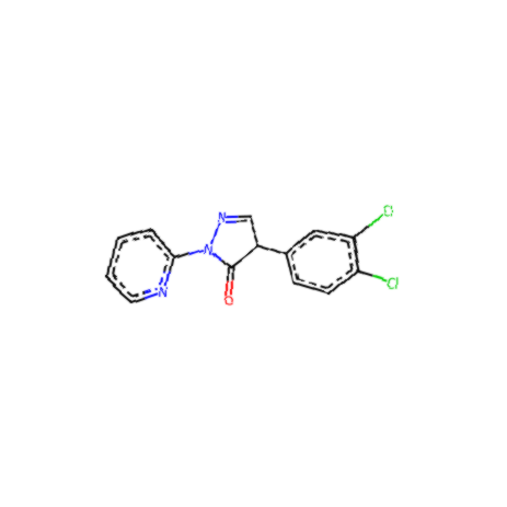 O=C1C(c2ccc(Cl)c(Cl)c2)C=NN1c1ccccn1